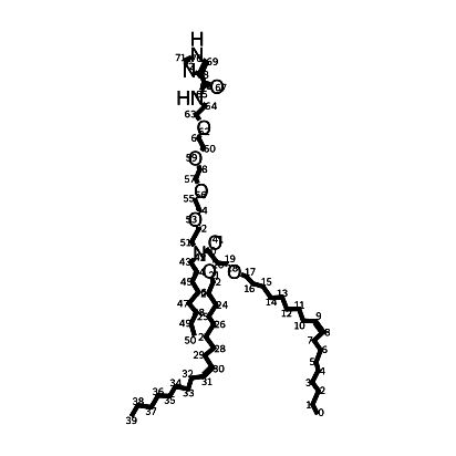 CCCCCCCC/C=C\CCCCCCCCOCC(OCCCCCCCC/C=C\CCCCCCCC)C(=O)N(CCCCCCCC)CCOCCOCCOCCOCCNC(=O)c1c[nH]cn1